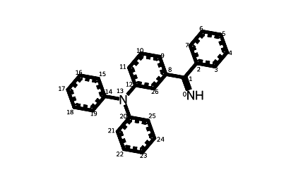 N=C(c1ccccc1)c1cccc(N(c2ccccc2)c2ccccc2)c1